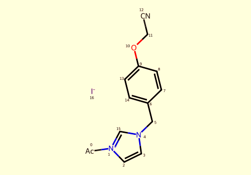 CC(=O)[n+]1ccn(Cc2ccc(OCC#N)cc2)c1.[I-]